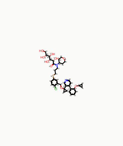 O=C([C@@H](O)[C@@H](O)[C@H](O)[C@@H](O)CO)N(CCCSc1ccc(Cl)c(COC2(c3cnccc3-c3ccccc3OC3CC3)CC2)c1)C1CCOCC1